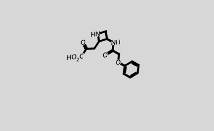 O=C(COc1ccccc1)NC1CNC1CC(=O)C(=O)O